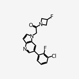 O=C(Cn1ccc2ncc(-c3cccc(Cl)c3F)cc21)N1CC(F)C1